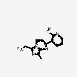 CCOc1ncccc1-c1ccn2c(CC(F)(F)F)nc(C)c2n1